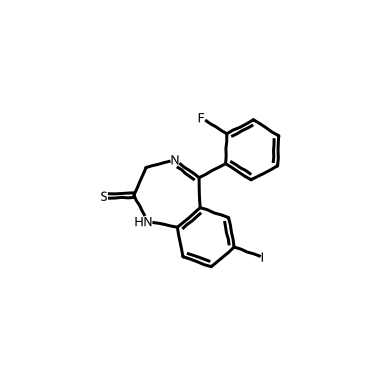 Fc1ccccc1C1=NCC(=S)Nc2ccc(I)cc21